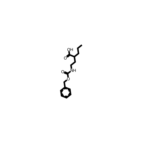 CCCC(CCNC(=O)OCc1ccccc1)C(=O)O